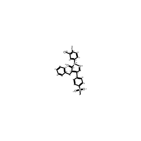 CS(=O)(=O)c1ccc(-c2cnn(-c3ccc(F)c(Cl)c3)c(=O)c2Cc2ccccc2)cc1